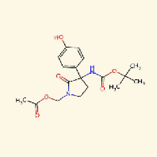 CC(=O)OCN1CCC(NC(=O)OC(C)(C)C)(c2ccc(O)cc2)C1=O